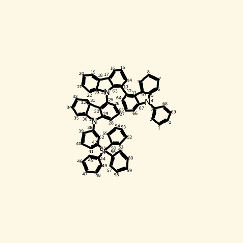 c1ccc(-n2c3ccccc3c3c(-c4cccc5c6ccccc6n(-c6cccc7c6c6ccccc6n7-c6cccc([Si](c7ccccc7)(c7ccccc7)c7ccccc7)c6)c45)cccc32)cc1